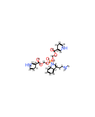 CN(C)CCc1cn(P(=O)(OCOC(=O)C2=CNC=CC2)OCOC(=O)C2=CNC=CC2)c2ccccc12